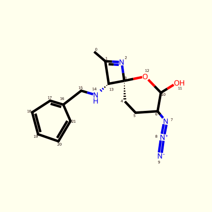 CC1=N[C@]2(CCC(N=[N+]=[N-])C(O)O2)[C@@H]1NCc1ccccc1